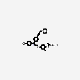 Cc1cc(OC/C=C(/c2ccc(Cl)cc2)c2ccc(C#CCN3CCOCC3)cc2)ccc1OC(C)C(=O)O